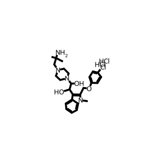 Cl.Cl.Cn1c(COc2ccc(Cl)cc2)c(C(O)C(O)N2CCN(CC(C)(C)N)CC2)c2ccccc21